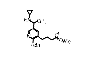 CCCCc1ncc(C(C)NC2CC2)cc1CCCNOC